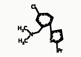 CC(C)c1ccc(-c2ccc(Cl)cc2CN(C)C)s1